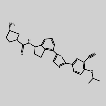 CC(C)Oc1ccc(-c2ncc(-c3cccc4c3CCC4NC(=O)N3CC[C@@H](N)C3)s2)cc1C#N